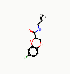 C=CCNC(=O)C1COc2ccc(F)cc2O1